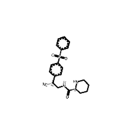 N#C[C@@H](CNC(=O)[C@@H]1CCCCN1)c1ccc(S(=O)(=O)c2ccccc2)cc1